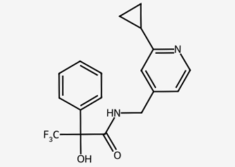 O=C(NCc1ccnc(C2CC2)c1)C(O)(c1ccccc1)C(F)(F)F